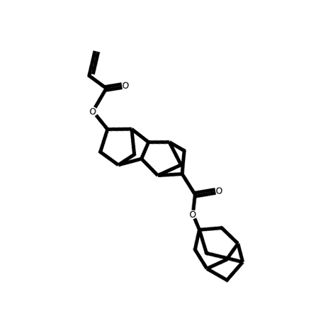 C=CC(=O)OC1CC2CC1C1C3CC(C(=O)OC45CC6CC(C4)C(C6)C5)C(C3)C21